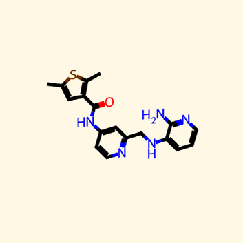 Cc1cc(C(=O)Nc2ccnc(CNc3cccnc3N)c2)c(C)s1